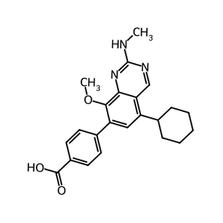 CNc1ncc2c(C3CCCCC3)cc(-c3ccc(C(=O)O)cc3)c(OC)c2n1